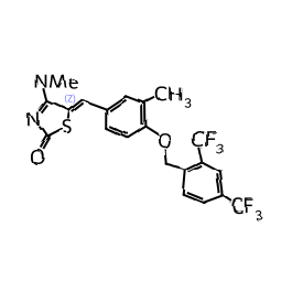 CNC1=NC(=O)S/C1=C\c1ccc(OCc2ccc(C(F)(F)F)cc2C(F)(F)F)c(C)c1